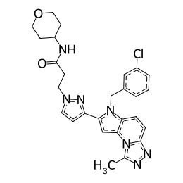 Cc1nnc2ccc3c(cc(-c4ccn(CCC(=O)NC5CCOCC5)n4)n3Cc3cccc(Cl)c3)n12